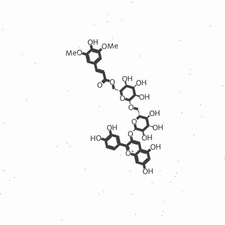 COc1cc(/C=C/C(=O)OC[C@H]2O[C@@H](OC[C@H]3O[C@@H](Oc4cc5c(O)cc(O)cc5[o+]c4-c4ccc(O)c(O)c4)[C@H](O)[C@@H](O)[C@@H]3O)[C@H](O)[C@@H](O)[C@@H]2O)cc(OC)c1O